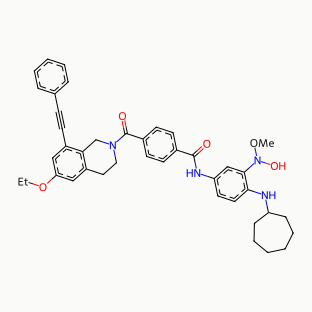 CCOc1cc(C#Cc2ccccc2)c2c(c1)CCN(C(=O)c1ccc(C(=O)Nc3ccc(NC4CCCCCC4)c(N(O)OC)c3)cc1)C2